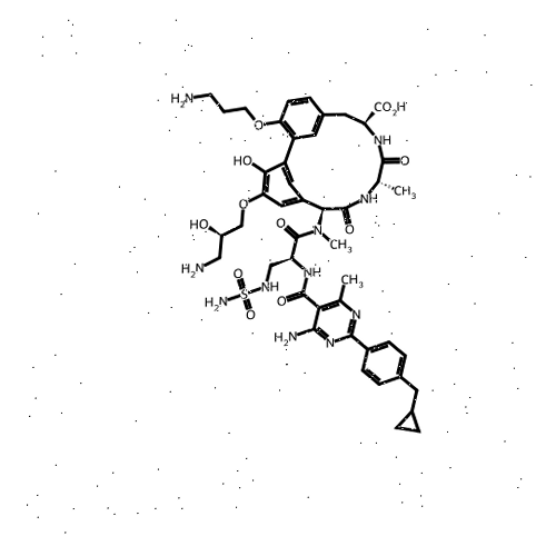 Cc1nc(-c2ccc(CC3CC3)cc2)nc(N)c1C(=O)N[C@@H](CNS(N)(=O)=O)C(=O)N(C)[C@@H]1C(=O)N[C@@H](C)C(=O)N[C@H](C(=O)O)Cc2ccc(OCCCN)c(c2)-c2cc1cc(OC[C@H](O)CN)c2O